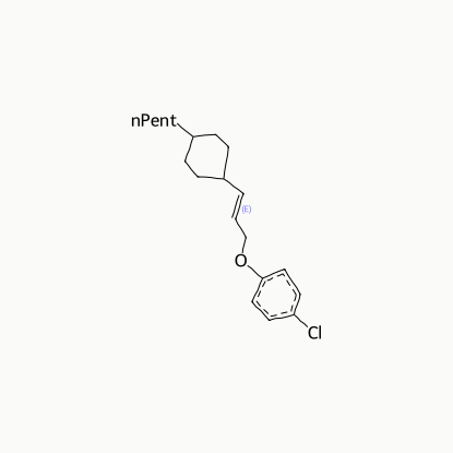 CCCCCC1CCC(/C=C/COc2ccc(Cl)cc2)CC1